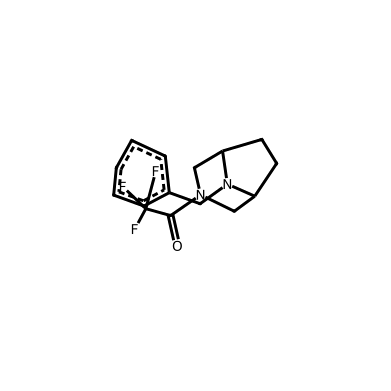 O=C(N1CC2CCC(C1)N2Cc1ccccc1)C(F)(F)F